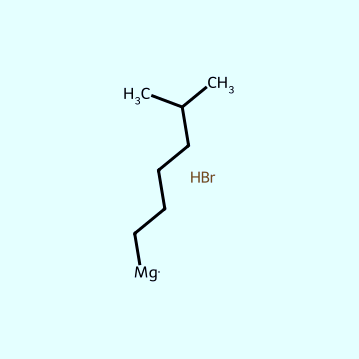 Br.CC(C)CCC[CH2][Mg]